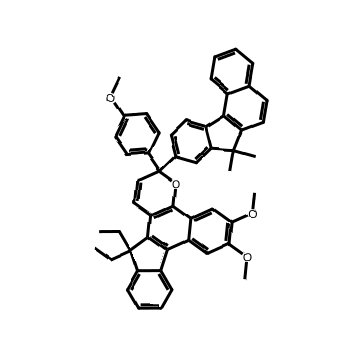 CCC1(CC)c2ccccc2-c2c1c1c(c3cc(OC)c(OC)cc23)OC(c2ccc(OC)cc2)(c2ccc3c(c2)C(C)(C)c2ccc4ccccc4c2-3)C=C1